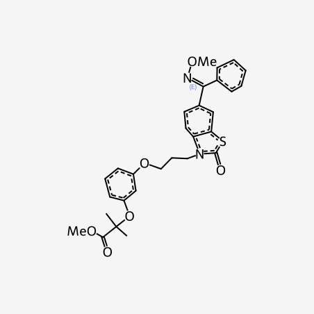 CO/N=C(\c1ccccc1)c1ccc2c(c1)sc(=O)n2CCCOc1cccc(OC(C)(C)C(=O)OC)c1